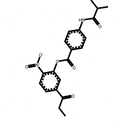 CCC(=O)c1ccc([N+](=O)[O-])c(OC(=O)c2ccc(NC(=O)C(C)C)cc2)c1